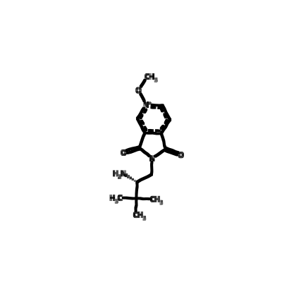 CO[n+]1ccc2c(c1)C(=O)N(C[C@@H](N)C(C)(C)C)C2=O